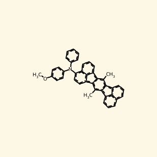 COc1ccc(N(c2ccccc2)c2ccc3c4c(C)c5c6cccc7cccc(c5c(C)c4c4cccc2c43)c76)cc1